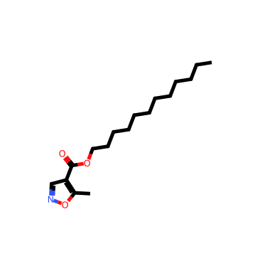 CCCCCCCCCCCCOC(=O)c1cnoc1C